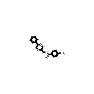 Cc1ccc(S(=O)OCC2COC(c3ccccc3)CO2)cc1